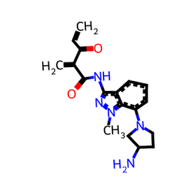 C=CC(=O)C(=C)C(=O)Nc1nn(C)c2c(N3CCC(N)C3)cccc12